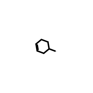 [CH2]C1CC=CCC1